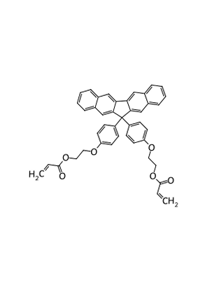 C=CC(=O)OCCOc1ccc(C2(c3ccc(OCCOC(=O)C=C)cc3)c3cc4ccccc4cc3-c3cc4ccccc4cc32)cc1